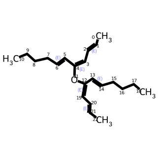 C/C=C/C=C(\C=C\CCCC)OC(/C=C/CCCC)=C/C=C/C